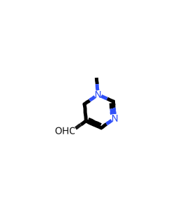 CN1C=NC=C(C=O)C1